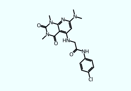 CN(C)c1cc(NCC(=O)Nc2ccc(Cl)cc2)c2c(=O)n(C)c(=O)n(C)c2n1